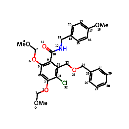 COCOc1cc(OCOC)c(C(=O)NCc2ccc(OC)cc2)c(COCc2ccccc2)c1Cl